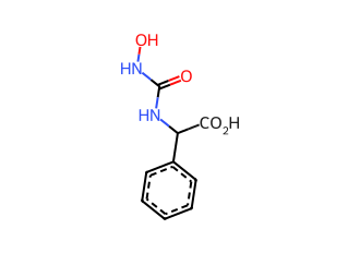 O=C(NO)NC(C(=O)O)c1ccccc1